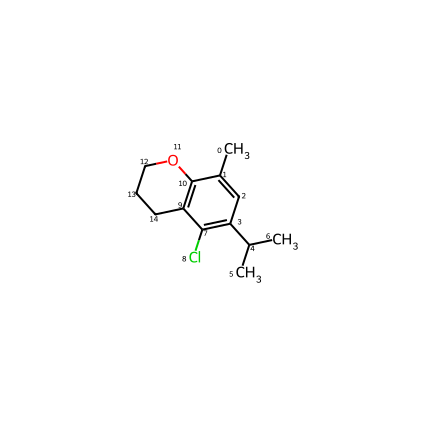 Cc1cc(C(C)C)c(Cl)c2c1OCCC2